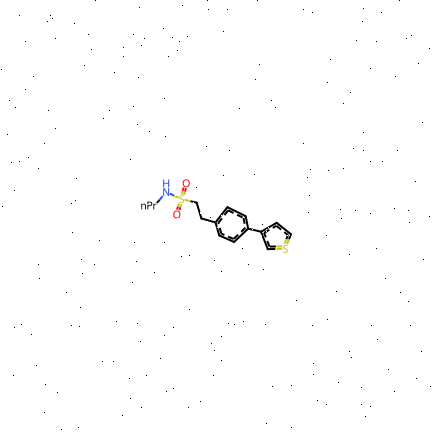 CCCNS(=O)(=O)CCc1ccc(-c2ccsc2)cc1